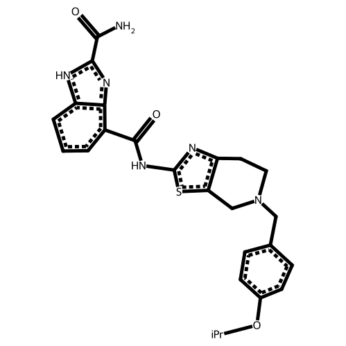 CC(C)Oc1ccc(CN2CCc3nc(NC(=O)c4cccc5[nH]c(C(N)=O)nc45)sc3C2)cc1